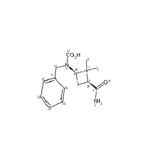 CC1(C)[C@@H](C(N)=O)C[C@H]1N(Cc1ccccc1)C(=O)O